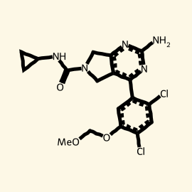 COCOc1cc(-c2nc(N)nc3c2CN(C(=O)NC2CC2)C3)c(Cl)cc1Cl